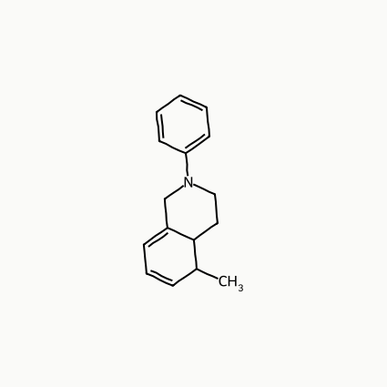 CC1C=CC=C2CN(c3ccccc3)CCC21